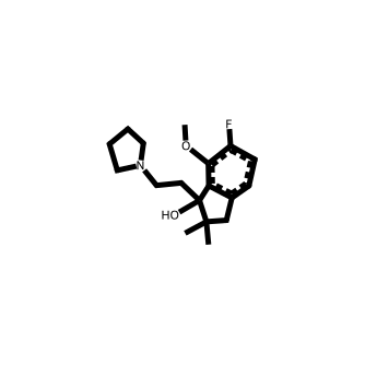 COc1c(F)ccc2c1C(O)(CCN1CCCC1)C(C)(C)C2